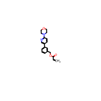 C=CC(=O)OCc1cccc(-c2ccc(N3CCOCC3)nc2)c1